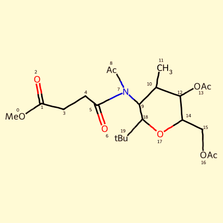 COC(=O)CCC(=O)N(C(C)=O)C1C(C)C(OC(C)=O)C(COC(C)=O)OC1C(C)(C)C